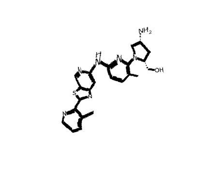 Cc1cccnc1-c1nc2cc(Nc3ccc(C)c(N4C[C@H](N)C[C@@H]4CO)n3)ncc2s1